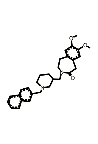 COc1cc2c(cc1OC)CC(=O)N(CC1CCCN(Cc3ccc4ccccc4c3)C1)CC2